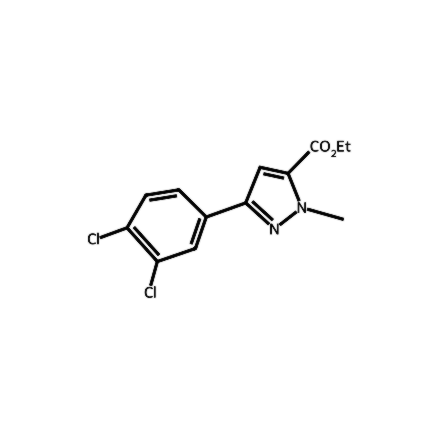 CCOC(=O)c1cc(-c2ccc(Cl)c(Cl)c2)nn1C